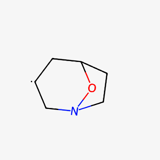 [CH]1CC2CCN(C1)O2